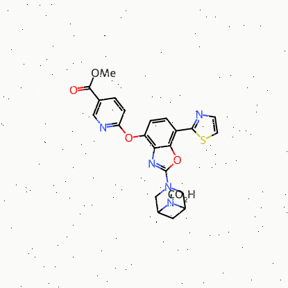 COC(=O)c1ccc(Oc2ccc(-c3nccs3)c3oc(N4CC5CC(C4)N5C(=O)O)nc23)nc1